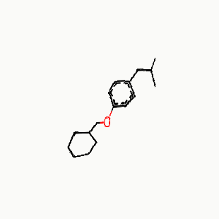 CC(C)Cc1ccc(OCC2CCCCC2)cc1